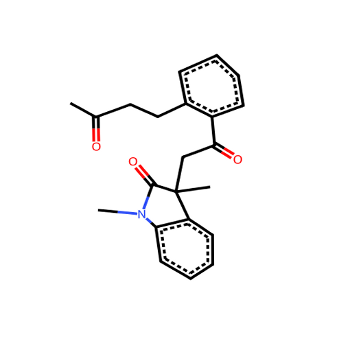 CC(=O)CCc1ccccc1C(=O)CC1(C)C(=O)N(C)c2ccccc21